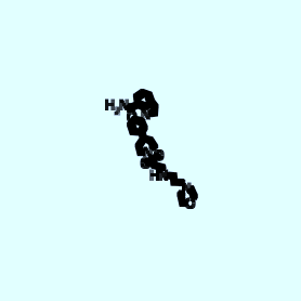 NC(=O)c1cccc2ccn(-c3cccc(C4CCN(S(=O)(=O)CCNCCCN5CCOCC5)CC4)c3)c12